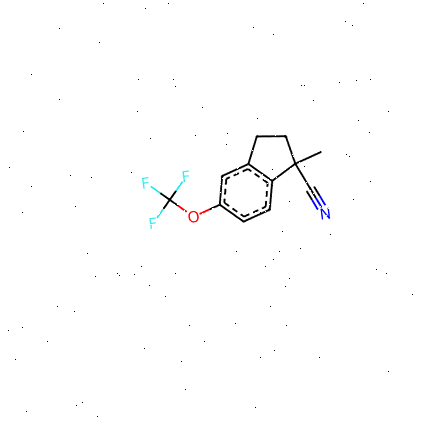 CC1(C#N)CCc2cc(OC(F)(F)F)ccc21